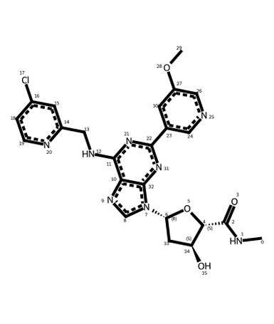 CNC(=O)[C@H]1O[C@@H](n2cnc3c(NCc4cc(Cl)ccn4)nc(-c4cncc(OC)c4)nc32)C[C@@H]1O